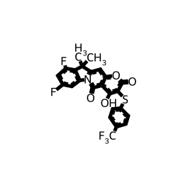 CC1(C)c2c(F)cc(F)cc2-n2c1cc1oc(=O)c(Sc3ccc(C(F)(F)F)cc3)c(O)c1c2=O